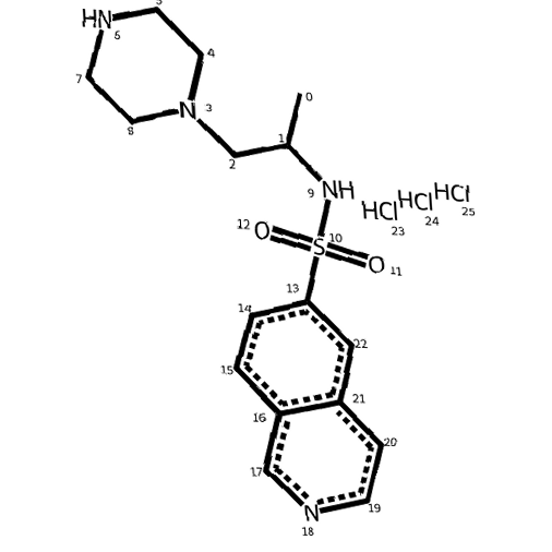 CC(CN1CCNCC1)NS(=O)(=O)c1ccc2cnccc2c1.Cl.Cl.Cl